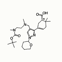 CN(CCN(C)C(=O)OC(C)(C)C)Cc1cn(C2CCCCO2)nc1C1=CCC(C)(C)[C@H](C(=O)O)C1